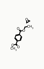 C1CO1.CCOC(=O)c1ccc(C(=O)OC)cc1